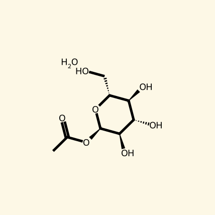 CC(=O)O[C@H]1O[C@H](CO)[C@@H](O)[C@H](O)[C@H]1O.O